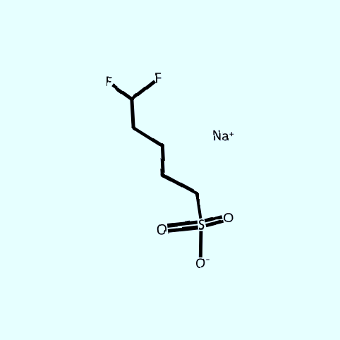 O=S(=O)([O-])CCCCC(F)F.[Na+]